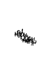 C[C@]12CC(I)C(=O)NC1CC[C@@H]1[C@H]2CC[C@]2(C)C(OC3CC3)CC[C@@H]12